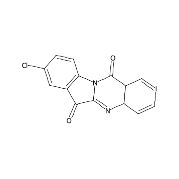 O=C1C2=NC3C=CI=CC3C(=O)N2c2ccc(Cl)cc21